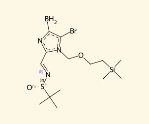 Bc1nc(/C=N/[S@@+]([O-])C(C)(C)C)n(COCC[Si](C)(C)C)c1Br